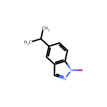 CC(C)c1ccc2c(cnn2I)c1